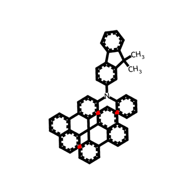 CC1(C)c2ccccc2-c2ccc(N(c3ccccc3)c3ccc4c(c3)C3(c5ccccc5-c5cccc6cccc3c56)c3cccc5cccc-4c35)cc21